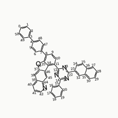 c1ccc(-c2ccc(-c3ccc(-c4nc(-c5ccccc5)nc(-c5ccc6ccccc6c5)n4)c4c3oc3cc5cccnc5cc34)cc2)cc1